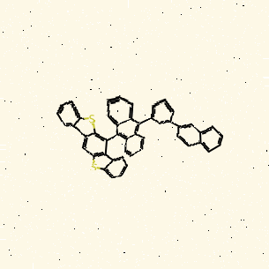 c1cc(-c2ccc3ccccc3c2)cc(-c2c3ccccc3c(-c3c4sc5ccccc5c4cc4sc5ccccc5c34)c3ccccc23)c1